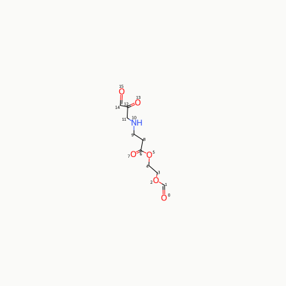 O=COCCOC(=O)CCNCC(=O)C=O